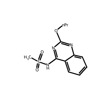 CCCOc1nc(NS(C)(=O)=O)c2ccccc2n1